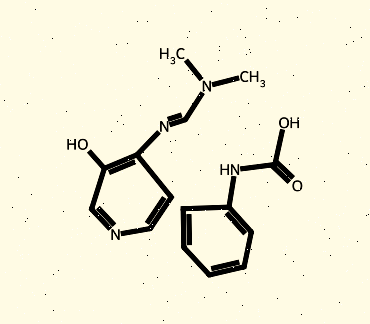 CN(C)C=Nc1ccncc1O.O=C(O)Nc1ccccc1